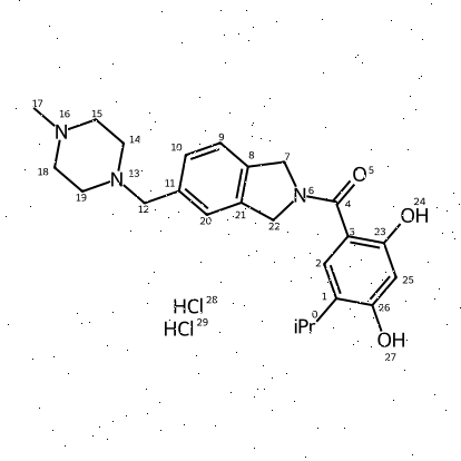 CC(C)c1cc(C(=O)N2Cc3ccc(CN4CCN(C)CC4)cc3C2)c(O)cc1O.Cl.Cl